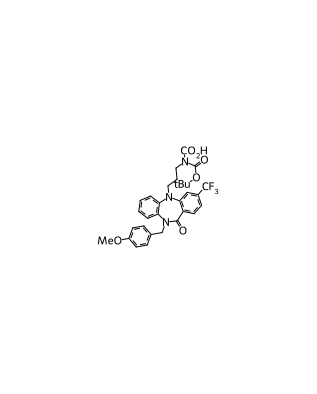 COc1ccc(CN2C(=O)c3ccc(C(F)(F)F)cc3N(CCCN(C(=O)O)C(=O)OC(C)(C)C)c3ccccc32)cc1